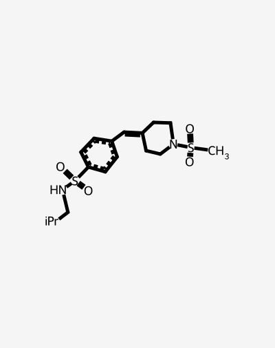 CC(C)CNS(=O)(=O)c1ccc(C=C2CCN(S(C)(=O)=O)CC2)cc1